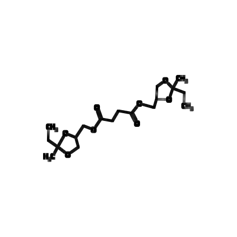 CCC1(C)OCC(COC(=O)CCC(=O)OCC2COC(C)(CC)O2)O1